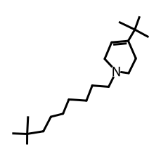 CC(C)(C)CCCCCCCN1CC=C(C(C)(C)C)CC1